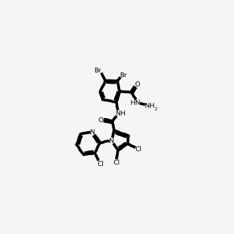 NNC(=O)c1c(NC(=O)c2cc(Cl)c(Cl)n2-c2ncccc2Cl)ccc(Br)c1Br